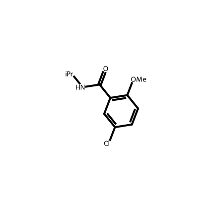 COc1ccc(Cl)cc1C(=O)NC(C)C